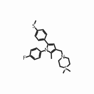 CSc1ccc(-c2cc(CN3CCS(C)(C)CC3)c(C)n2-c2ccc(F)cc2)cc1